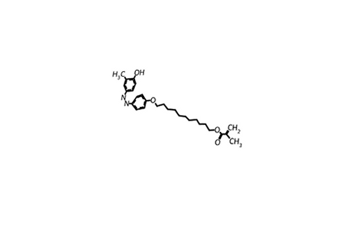 C=C(C)C(=O)OCCCCCCCCCCCOc1ccc(/N=N\c2ccc(O)c(C)c2)cc1